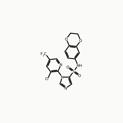 O=S(=O)(Nc1ccc2c(c1)OCCO2)c1cncn1-c1ncc(C(F)(F)F)cc1Cl